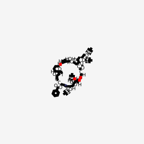 C=C1[C@H](C)C[C@H]2CC[C@@H]3O[C@@H](CCC(OC(=O)c4ccccc4)/C=C/C(O[Si](C)(C)C(C)(C)C)[C@@H]4O[C@H]5CC[C@H](CC(=O)CC6C(C[C@H]1O)OC(C[C@@H](CO[Si](C)(C)C(C)(C)C)O[Si](C)(C)C(C)(C)C)[C@@H]6OC)OC5[C@H](O)C4O[Si](C)(C)C(C)(C)C)CC3(CI)O2